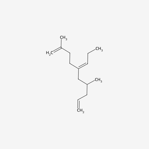 C=CCC(C)CC(=CCC)CCC(=C)C